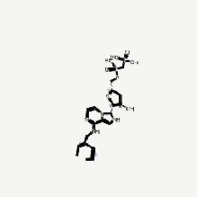 C/C=C\C(=C/C)CNC1=NC=CN2C1=CNC2[C@@H]1O[C@H](COP(=O)(O)CP(=O)(O)O)C[C@H]1O